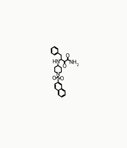 NC(=O)C(=O)C(Cc1ccccc1)NC1CCN(S(=O)(=O)c2ccc3ccccc3c2)CC1